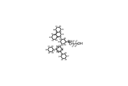 CC(C)(O)C(C)(C)OBc1cc(-c2nc(-c3ccccc3)nc(-c3ccccc3)n2)cc(-c2cc3ccccc3c3ccccc23)c1